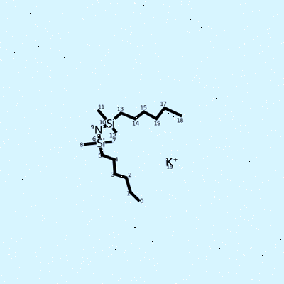 CCCCCC[Si](C)(C)[N-][Si](C)(C)CCCCCC.[K+]